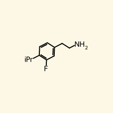 CC(C)c1ccc(CCN)cc1F